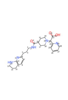 O=C(NCCCc1ccc2c(n1)NCCC2)C1CCN(C(C(=O)O)c2ccccn2)CC1